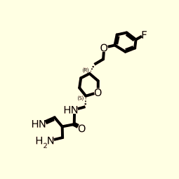 N=CC(CN)C(=O)NC[C@@H]1CC[C@H](CCOc2ccc(F)cc2)CO1